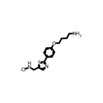 NCCCCOc1ccc(-c2ncc(CNCl)s2)cc1